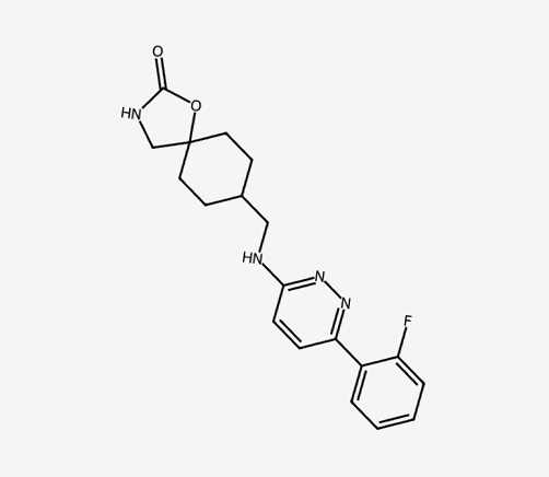 O=C1NCC2(CCC(CNc3ccc(-c4ccccc4F)nn3)CC2)O1